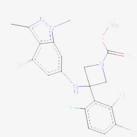 Cc1nn(C)c2cc(NC3(c4c(F)ccc(Cl)c4Cl)CN(C(=O)OC(C)(C)C)C3)cc(F)c12